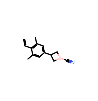 C=Cc1c(C)cc(C2CB(C#N)C2)cc1C